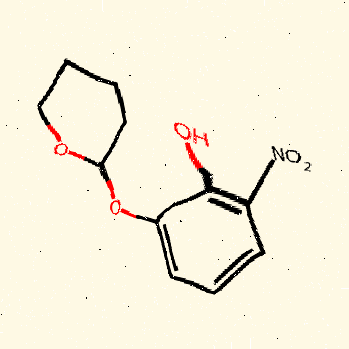 O=[N+]([O-])c1cccc(OC2CCCCO2)c1O